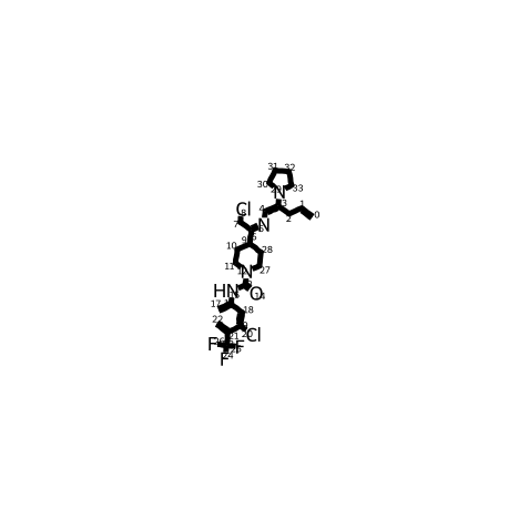 C=CC/C(=C\N=C(/CCl)C1CCN(C(=O)NC(=C)/C=C(/Cl)C(=C)C(F)(F)F)CC1)N1CCCC1